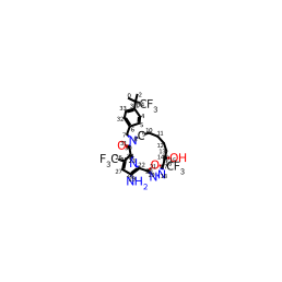 CC(C)(c1ccc(CN2CCCCC[C@](O)(C(F)(F)F)c3nnc(o3)-c3nc(c(C(F)(F)F)cc3N)C2=O)cc1)C(F)(F)F